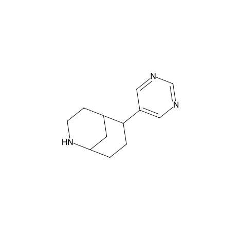 c1ncc(C2CCC3CC2CCN3)cn1